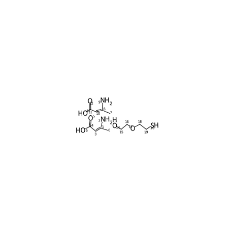 C/C(N)=C/C(=O)O.C/C(N)=C/C(=O)O.OCCOCCS